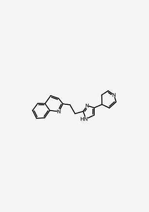 C1=CC(c2c[nH]c(CCc3ccc4ccccc4n3)n2)CC=N1